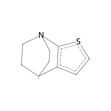 c1cc2c(s1)N1CC[C]2CC1